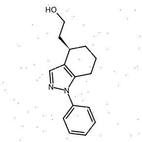 OCC[C@H]1CCCc2c1cnn2-c1ccccc1